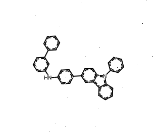 c1ccc(-c2cccc(Nc3ccc(-c4ccc5c(c4)c4ccccc4n5-c4ccccc4)cc3)c2)cc1